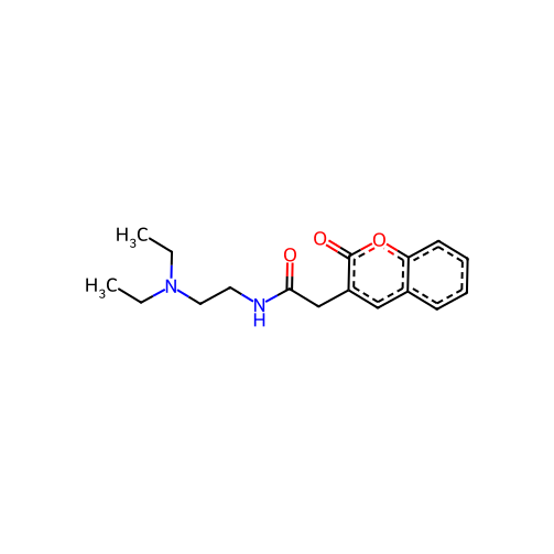 CCN(CC)CCNC(=O)Cc1cc2ccccc2oc1=O